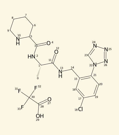 C[C@H](NC(=O)C1CCCCN1)C(=O)NCc1cc(Cl)ccc1-n1cnnn1.O=C(O)C(F)(F)F